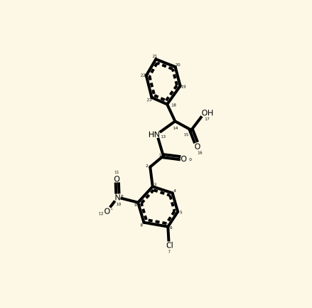 O=C(Cc1ccc(Cl)cc1[N+](=O)[O-])NC(C(=O)O)c1ccccc1